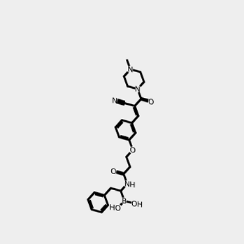 CN1CCN(C(=O)C(C#N)=Cc2cccc(OCCC(=O)NC(Cc3ccccc3)B(O)O)c2)CC1